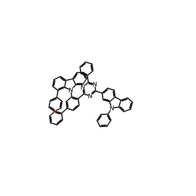 c1ccc(-c2ccc(-c3nc(-c4ccccc4)nc(-c4ccc5c6ccccc6n(-c6ccccc6)c5c4)n3)c(-n3c4ccccc4c4cccc(-c5ccccc5)c43)c2)cc1